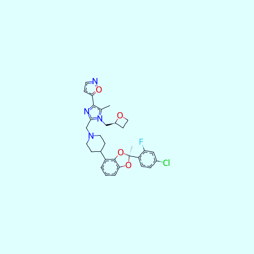 Cc1c(-c2ccno2)nc(CN2CCC(c3cccc4c3O[C@@](C)(c3ccc(Cl)cc3F)O4)CC2)n1C[C@@H]1CCO1